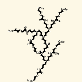 COCCOCC(=O)NCCCN(CCCNC(O)COCCOC)CCCN(C)CCCN(C)CCCN(CCCN(CCCNC(=O)COCCOC)CCCNC(=O)COCCOC)CCCN(CCCNC(=O)COCCOC)CCCNC(=O)COCCOC